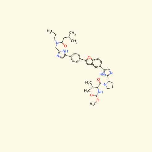 CCCN(Cc1ncc(-c2ccc(-c3cc4cc(-c5cnc([C@@H]6CCCN6C(=O)[C@@H](NC(=O)OC)C(C)C)[nH]5)ccc4o3)cc2)[nH]1)C(=O)CC(C)C